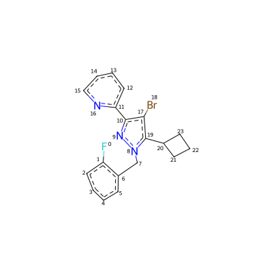 Fc1ccccc1Cn1nc(-c2ccccn2)c(Br)c1C1CCC1